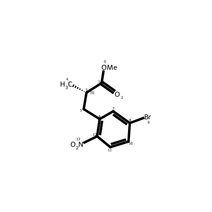 COC(=O)[C@@H](C)Cc1cc(Br)ccc1[N+](=O)[O-]